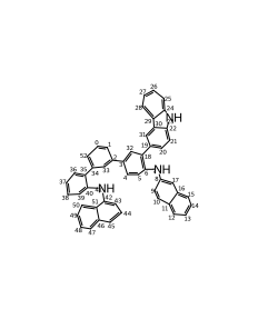 c1cc(-c2ccc(Nc3ccc4ccccc4c3)c(-c3ccc4[nH]c5ccccc5c4c3)c2)cc(-c2ccccc2Nc2cccc3ccccc23)c1